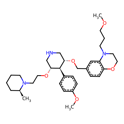 COCCCN1CCOc2ccc(CO[C@H]3CNC[C@@H](OCCN4CCCC[C@@H]4C)[C@@H]3c3ccc(OC)cc3)cc21